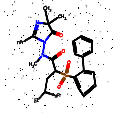 CCCC1=NC(C)(C)C(=O)N1N(C)C(=O)C(CC(CC)CCC)S(=O)(=O)c1ccccc1-c1ccccc1